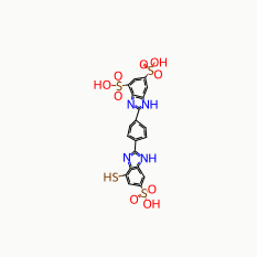 O=S(=O)(O)c1cc(S)c2nc(-c3ccc(-c4nc5c(S(=O)(=O)O)cc(S(=O)(=O)O)cc5[nH]4)cc3)[nH]c2c1